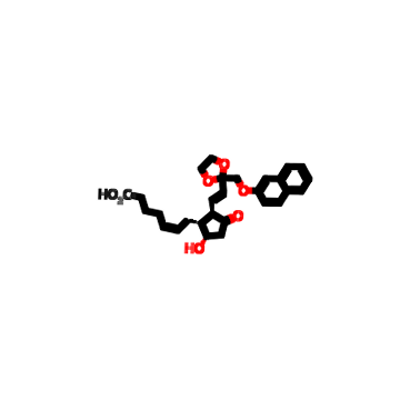 O=C(O)CCC/C=C\C[C@H]1[C@@H](O)CC(=O)[C@@H]1/C=C/C1(COc2ccc3ccccc3c2)OCCO1